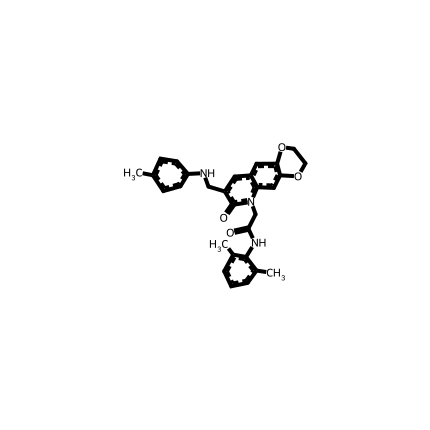 Cc1ccc(NCc2cc3cc4c(cc3n(CC(=O)Nc3c(C)cccc3C)c2=O)OCCO4)cc1